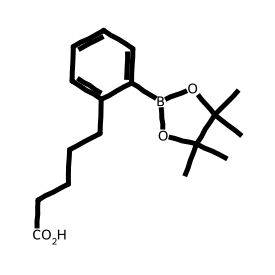 CC1(C)OB(c2ccccc2CCCCC(=O)O)OC1(C)C